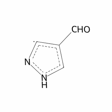 O=Cc1[c]n[nH]c1